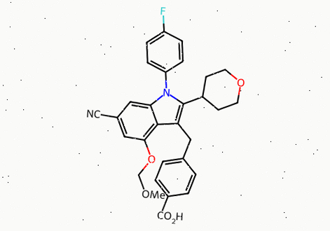 COCOc1cc(C#N)cc2c1c(Cc1ccc(C(=O)O)cc1)c(C1CCOCC1)n2-c1ccc(F)cc1